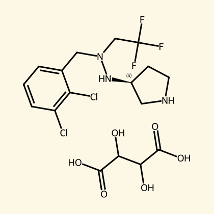 FC(F)(F)CN(Cc1cccc(Cl)c1Cl)N[C@H]1CCNC1.O=C(O)C(O)C(O)C(=O)O